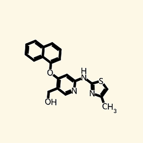 Cc1csc(Nc2cc(Oc3cccc4ccccc34)c(CO)cn2)n1